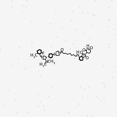 Cc1cccc(F)c1CN1C[C@H](c2ccc(N3CCN(C(=O)CCCCCCCNc4cccc5c4C(=O)N(C4CCC(=O)NC4=O)C5=O)CC3)cc2)[C@@H](N(C)C)C1